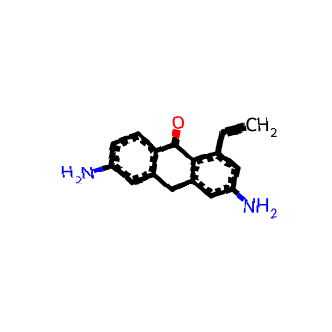 C=Cc1cc(N)cc2c1C(=O)c1ccc(N)cc1C2